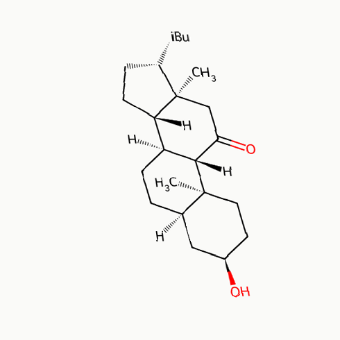 CC[C@@H](C)[C@H]1CC[C@H]2[C@@H]3CC[C@@H]4C[C@H](O)CC[C@]4(C)[C@H]3C(=O)C[C@]12C